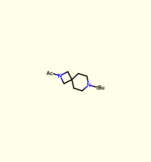 CC(=O)N1CC2(CCN(C(C)(C)C)CC2)C1